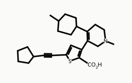 CC1CCC(C2=C(c3cc(C#CC4CCCC4)sc3C(=O)O)CN(C)CC2)CC1